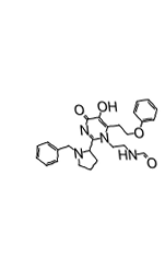 O=CNCCn1c(C2CCCN2Cc2ccccc2)nc(=O)c(O)c1CCOc1ccccc1